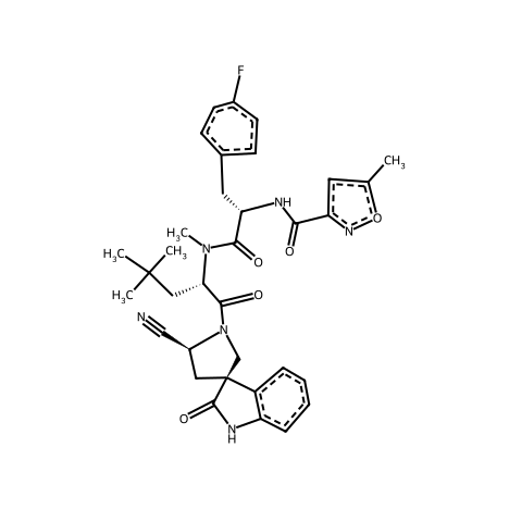 Cc1cc(C(=O)N[C@@H](Cc2ccc(F)cc2)C(=O)N(C)[C@@H](CC(C)(C)C)C(=O)N2C[C@]3(C[C@H]2C#N)C(=O)Nc2ccccc23)no1